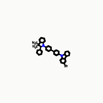 CC(C)c1ccc2c(c1)c1ccccc1n2-c1ccc(-c2ccc(N3c4ccccc4C(C)(C)C3c3ccccc3)cc2)cc1